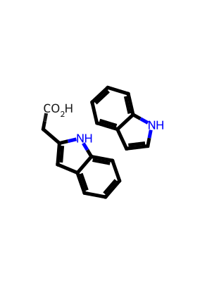 O=C(O)Cc1cc2ccccc2[nH]1.c1ccc2[nH]ccc2c1